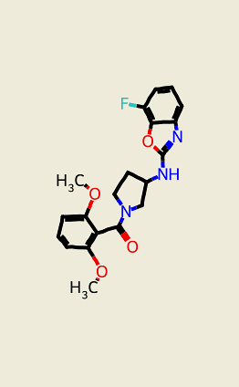 COc1cccc(OC)c1C(=O)N1CCC(Nc2nc3cccc(F)c3o2)C1